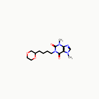 Cn1cnc2c1c(=O)n(CCCCC1COCCO1)c(=O)n2C